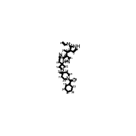 C=C/N=C1/NC=C/C1=C(/C)c1cnn(C2(CC#N)CN(C3(C)CCN(C(=O)C4CCCCC4)CC3)C2)c1